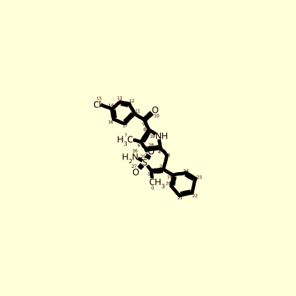 CC(=C(Cc1cc(C)c(C(=O)c2ccc(Cl)cc2)[nH]1)c1ccccc1)S(N)(=O)=O